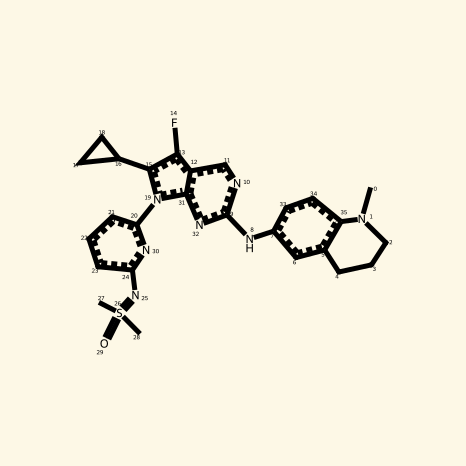 CN1CCCc2cc(Nc3ncc4c(F)c(C5CC5)n(-c5cccc(N=S(C)(C)=O)n5)c4n3)ccc21